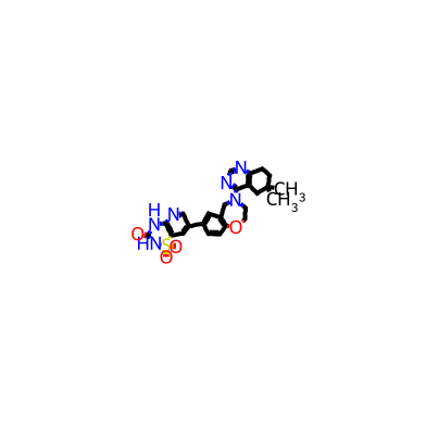 CC1(C)CCc2ncnc(N3CCOc4ccc(-c5cnc6c(c5)S(=O)(=O)NC(=O)N6)cc4C3)c2C1